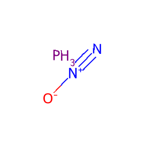 N#[N+][O-].P